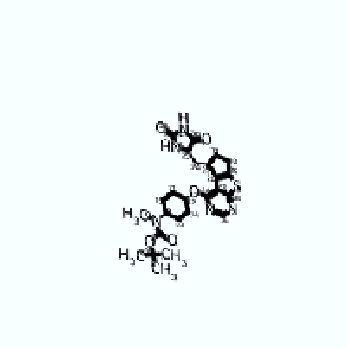 CN(C(=O)OC(C)(C)C)[C@H]1CC[C@H](Oc2ncnc3sc4c(c23)[C@@H](C[C@H]2NC(=O)NC2=O)CC4)CC1